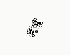 [O]=[Mn](=[O])(=[O])(=[O])(=[O])(=[O])=[O].[O]=[Mn](=[O])(=[O])(=[O])(=[O])(=[O])=[O]